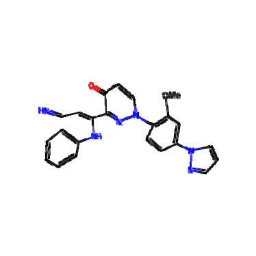 COc1cc(-n2cccn2)ccc1-n1ccc(=O)c(/C(=C/C=N)Nc2ccccc2)n1